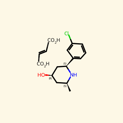 C[C@H]1C[C@@H](O)C[C@@H](c2cccc(Cl)c2)N1.O=C(O)C=CC(=O)O